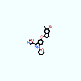 Cc1cc2c(cc1Br)CCC2Oc1ccc2c(c1)c(-c1cnco1)nn2C1CCCCO1